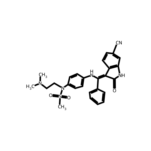 CN(C)CCN(c1ccc(NC(=C2C(=O)Nc3cc(C#N)ccc32)c2ccccc2)cc1)S(C)(=O)=O